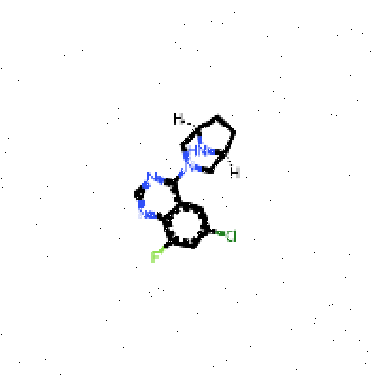 Fc1cc(Cl)cc2c(N3C[C@H]4CC[C@@H](C3)N4)ncnc12